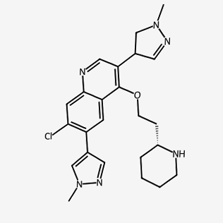 CN1CC(c2cnc3cc(Cl)c(-c4cnn(C)c4)cc3c2OCC[C@H]2CCCCN2)C=N1